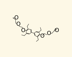 CCc1cc(-c2cc(CC)c(OCCOCC3CO3)c(CC)c2)cc(CC)c1OCCOCC1CO1